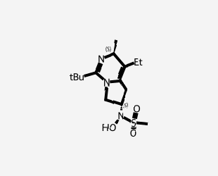 CCC1=C2C[C@H](N(O)S(C)(=O)=O)CN2C(C(C)(C)C)=N[C@H]1C